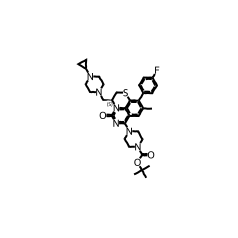 Cc1cc2c(N3CCN(C(=O)OC(C)(C)C)CC3)nc(=O)n3c2c(c1-c1ccc(F)cc1)SC[C@@H]3CN1CCN(C2CC2)CC1